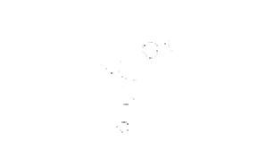 COC1S[C@@H]2[C@H](NC(=O)Cc3cccs3)C(=O)N2C(C(=O)OCc2ccc([N+](=O)[O-])cc2)=C1N